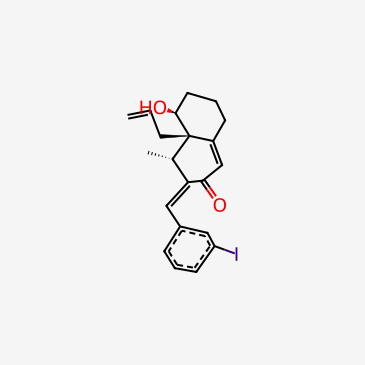 C=CC[C@@]12C(=CC(=O)C(=Cc3cccc(I)c3)[C@@H]1C)CCC[C@@H]2O